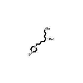 CCN1CCN(CCCC[C@H](CCCC(C)(C)C)OC)CC1